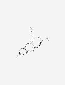 CCCN1CC(CO)=C[C@H]2Cc3nc(N)sc3C[C@@H]21